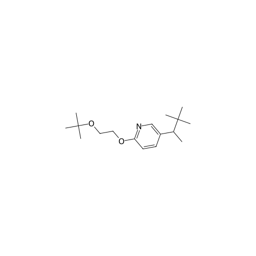 CC(c1ccc(OCCOC(C)(C)C)nc1)C(C)(C)C